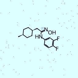 C[C@H]1CC[C@@H](C/C(=N/O)Nc2ccc(F)c(F)c2)CC1